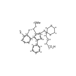 CSCCc1c(-c2cccc(F)c2F)c(-c2ccccc2)nn1CC1(COCC(=O)O)CCCCC1